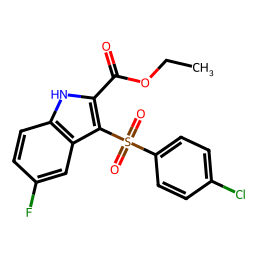 CCOC(=O)c1[nH]c2ccc(F)cc2c1S(=O)(=O)c1ccc(Cl)cc1